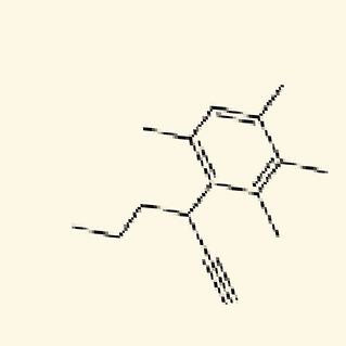 [C]#CC(CCC)c1c(C)cc(C)c(C)c1C